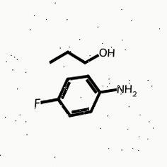 CCCO.Nc1ccc(F)cc1